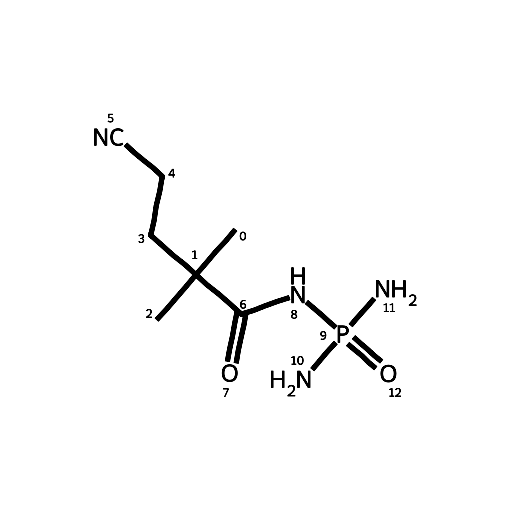 CC(C)(CCC#N)C(=O)NP(N)(N)=O